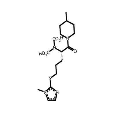 CC1CCN(C(=O)[C@H](CCCSc2nccn2C)N(C(=O)O)C(=O)O)CC1